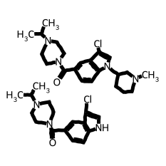 CC(C)N1CCN(C(=O)c2ccc3[nH]cc(Cl)c3c2)CC1.CC(C)N1CCN(C(=O)c2ccc3c(c2)c(Cl)cn3C2CCCN(C)C2)CC1